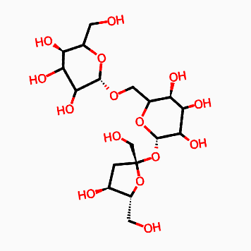 OCC1O[C@H](OCC2O[C@@H](O[C@@]3(CO)C[C@H](O)[C@@H](CO)O3)C(O)C(O)[C@@H]2O)C(O)C(O)[C@H]1O